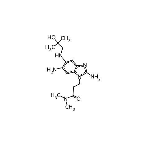 CN(C)C(=O)CCn1c(N)nc2cc(NCC(C)(C)O)c(N)cc21